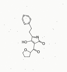 O=C1N=C(CCc2ccccc2)C(O)=C1C(=O)C1CCCO1